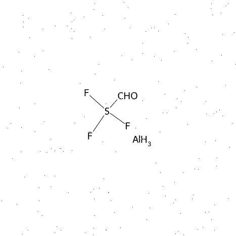 O=CS(F)(F)F.[AlH3]